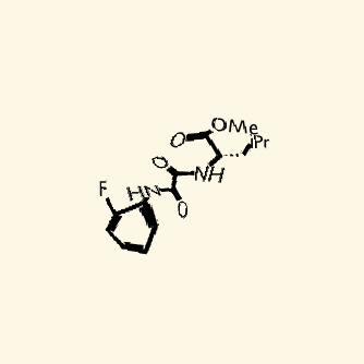 COC(=O)[C@H](CC(C)C)NC(=O)C(=O)Nc1ccccc1F